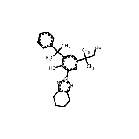 CC(C)(C)CC(C)(C)c1cc(-n2nc3c(n2)CCCC3)c(O)c(C(C)(C)c2ccccc2)c1